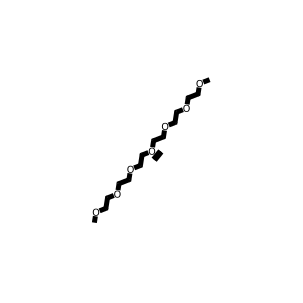 C=C.COCCOCCOCCOCCOCCOCCOC